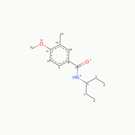 CCC(CC)NC(=O)c1ccc(OC)c(C)c1